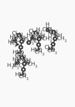 CNC(=O)c1ccc(-c2cc(F)c(Nc3ncc(Cl)c(Nc4cc(C5CC5)[nH]n4)n3)cc2C)cc1.CNC(=O)c1ccc(-c2cc(OC)c(Nc3ncc(Cl)c(Nc4cc(-c5ccccc5)[nH]n4)n3)cc2C)cc1.CNC(=O)c1ccc(-c2cc(OC)c(Nc3ncc(Cl)c(Nc4ccn(C)n4)n3)cc2C)cc1.Cc1cc(Nc2nc(Nc3ccc(-c4ccc(C(=O)N(C)Cl)cc4)cc3C)ncc2Cl)n[nH]1